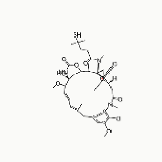 COc1cc2cc(c1Cl)N(C)C(=O)C[C@@H]1OC(=O)[C@@H](N(C)C(=O)CCC(C)(C)S)[C@]3(C[C@@]13C)[C@H](C)C1C[C@@](O)(NC(=O)O1)[C@H](OC)/C=C/C=C(\C)C2